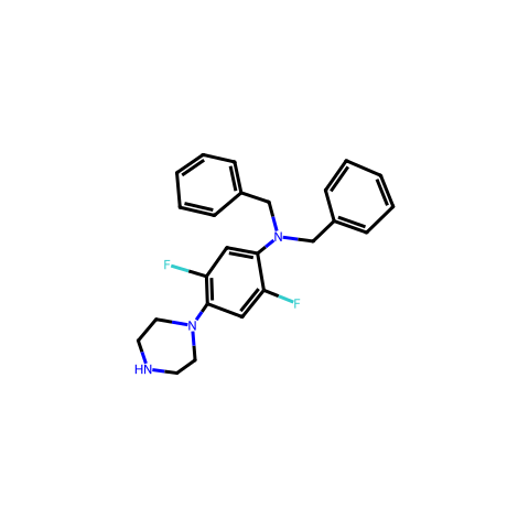 Fc1cc(N(Cc2ccccc2)Cc2ccccc2)c(F)cc1N1CCNCC1